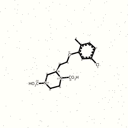 Cc1ccc(Cl)cc1OCC[C@@H]1CN(C(=O)O)CCN1C(=O)O